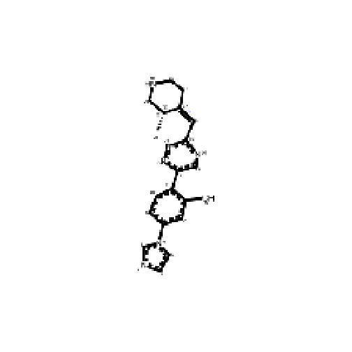 Oc1cc(-n2ccnc2)ccc1-c1cnc(/C=C2/CCNC[C@H]2F)nn1